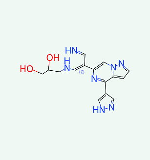 N=C/C(=C\NCC(O)CO)c1cn2nccc2c(-c2cn[nH]c2)n1